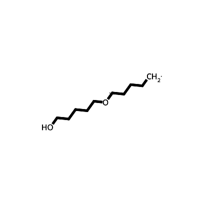 [CH2]CCC[CH]OCCCCCO